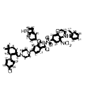 CC1(C)CCC(CN2CCN(c3ccc(C(=O)NS(=O)(=O)c4cc5c(c([N+](=O)[O-])c4)N[C@@H](Cc4ccccc4)CO5)c(Oc4cnc5[nH]ccc5c4)c3)CC2)=C(c2ccc(Cl)cc2)C1